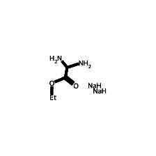 CCOC(=O)C(N)N.[NaH].[NaH]